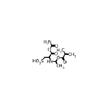 C=C(C)C(=O)OC(C)NC(CS(=O)(=O)O)C(=O)OC(N)=O